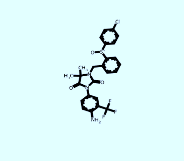 CC1(C)C(=O)N(c2ccc(N)c(C(F)(F)F)c2)C(=O)N1Cc1ccccc1[S+]([O-])c1ccc(Cl)cc1